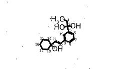 [CH2]CC(O)(O)c1cccc(/C=C/C2(O)CCCCC2)c1